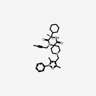 CC#CCN1C(=O)[C@](C)(C2CCCCC2)NC(=O)C12CCN(Cc1c(C)nn(-c3ccccc3)c1C)CC2